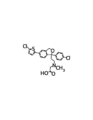 CN(CCC1(c2ccc(Cl)cc2)OCc2cc(-c3ccc(Cl)s3)ccc21)CC(=O)O